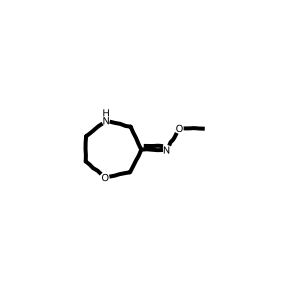 CO/N=C1\CNCCOC1